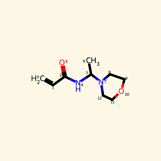 C=CC(=O)NC(C)N1CCOCC1